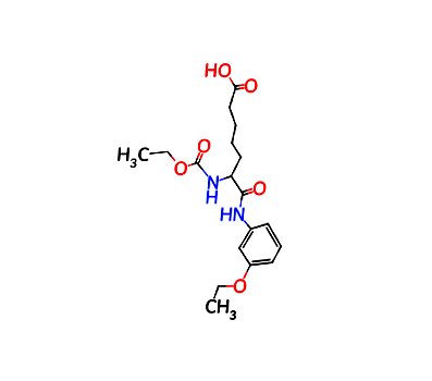 CCOC(=O)NC(CCCCC(=O)O)C(=O)Nc1cccc(OCC)c1